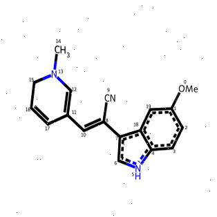 COc1ccc2[nH]cc(/C(C#N)=C/C3=CN(C)CC=C3)c2c1